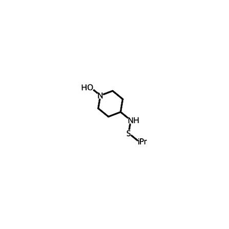 CC(C)SNC1CCN(O)CC1